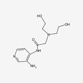 Nc1cnccc1NC(=O)CN(CCO)CCO